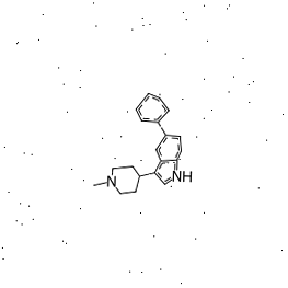 CN1CCC(c2c[nH]c3ccc(-c4c[c]ccc4)cc23)CC1